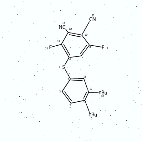 CCCCc1ccc(Sc2cc(F)c(C#N)c(C#N)c2F)cc1CCCC